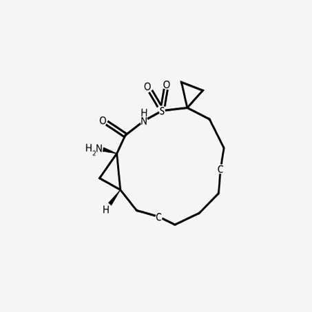 N[C@]12C[C@H]1CCCCCCCCC1(CC1)S(=O)(=O)NC2=O